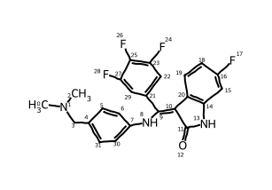 CN(C)Cc1ccc(N/C(=C2\C(=O)Nc3cc(F)ccc32)c2cc(F)c(F)c(F)c2)cc1